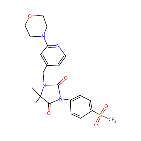 CC1(C)C(=O)N(c2ccc(S(=O)(=O)C(F)(F)F)cc2)C(=O)N1Cc1ccnc(N2CCOCC2)c1